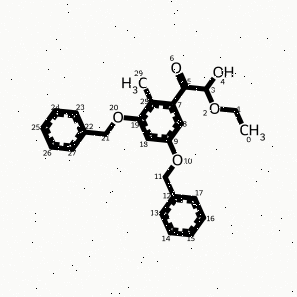 CCOC(O)C(=O)c1cc(OCc2ccccc2)cc(OCc2ccccc2)c1C